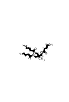 CC(COC(=O)CCCO)(COC(=O)CCCO)COC(=O)CCCO